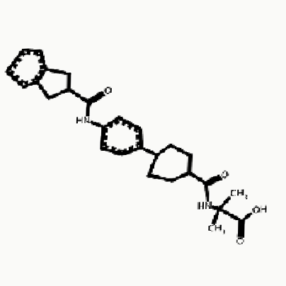 CC(C)(NC(=O)C1CCC(c2ccc(NC(=O)C3Cc4ccccc4C3)cc2)CC1)C(=O)O